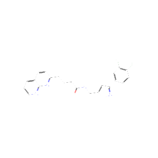 O=C(CCCc1ccc2cccnc2n1)NCc1cc(-c2ccc(F)c(Cl)c2)no1